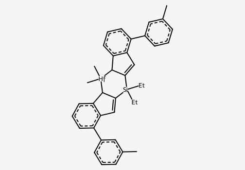 CC[Si]1(CC)C2=Cc3c(-c4cccc(C)c4)cccc3[CH]2[Hf]([CH3])([CH3])[CH]2C1=Cc1c(-c3cccc(C)c3)cccc12